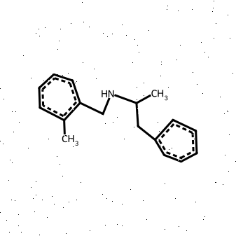 Cc1ccccc1CNC(C)Cc1ccccc1